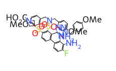 COc1ccc(CN(Cc2ccc(OC)cc2)S(=O)(=O)c2c(S(=O)(=O)C3CN(C(=O)O)C3)ccc(-c3ccc(F)c(N)c3N)c2-c2nnn(Cc3ccc(OC)cc3)n2)cc1